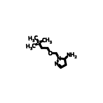 C[Si](C)(C)CCOCN1N=CCC1N